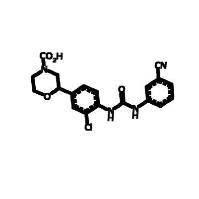 N#Cc1cccc(NC(=O)Nc2ccc(C3CN(C(=O)O)CCO3)cc2Cl)c1